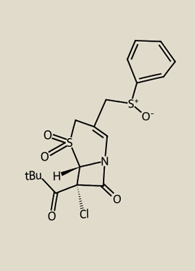 CC(C)(C)C(=O)[C@]1(Cl)C(=O)N2C=C(C[S+]([O-])c3ccccc3)CS(=O)(=O)[C@H]21